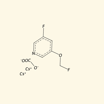 FCOc1cncc(F)c1.O=C([O-])[O-].[Cs+].[Cs+]